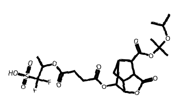 CC(C)OC(C)(C)OC(=O)C1C2CC3C(OC(=O)C31)C2OC(=O)CCC(=O)OC(C)C(F)(F)S(=O)(=O)O